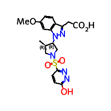 COc1ccc2c(CC(=O)O)nn([C@H]3CN(S(=O)(=O)c4ccc(O)nn4)C[C@H]3C)c2c1